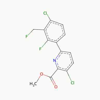 COC(=O)c1nc(-c2ccc(Cl)c(CF)c2F)ccc1Cl